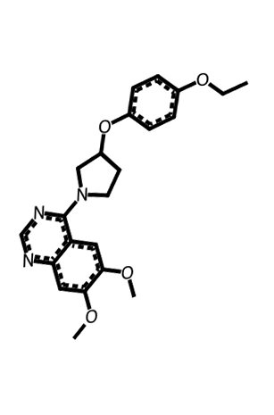 CCOc1ccc(OC2CCN(c3ncnc4cc(OC)c(OC)cc34)C2)cc1